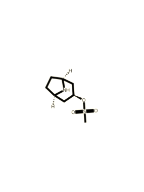 CS(=O)(=O)O[C@H]1C[C@H]2CC[C@@H](C1)N2